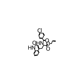 C=CCOC(=O)C(Cc1cc(=O)[nH]c2ccccc12)NC(=O)c1ccc(Cl)cc1